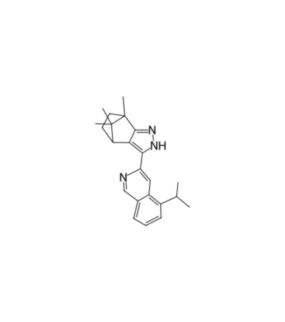 CC(C)c1cccc2cnc(-c3[nH]nc4c3C3CCC4(C)C3(C)C)cc12